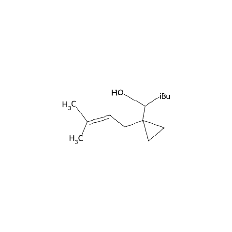 CCC(C)C(O)C1(CC=C(C)C)CC1